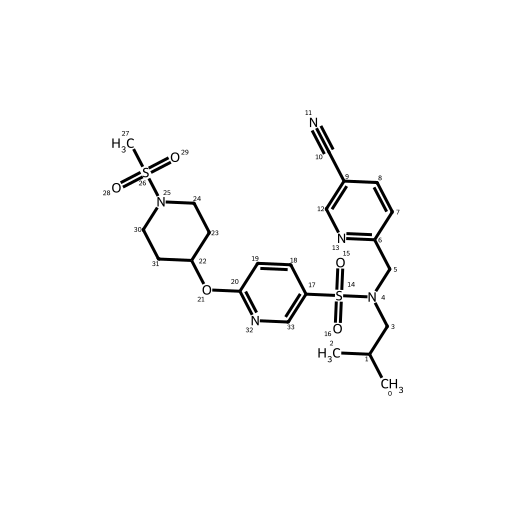 CC(C)CN(Cc1ccc(C#N)cn1)S(=O)(=O)c1ccc(OC2CCN(S(C)(=O)=O)CC2)nc1